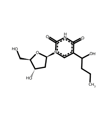 CCCC(O)c1cn([C@H]2C[C@H](O)[C@@H](CO)O2)c(=O)[nH]c1=O